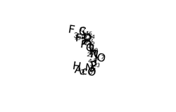 CC(=O)OC[C@]1(N)C[C@@H](C(=O)N2CC(OCc3ccc(C(F)(F)F)c(F)c3F)C2)C1